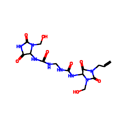 C=CCN1C(=O)C(NC(=O)NCNC(=O)NC2C(=O)NC(=O)N2CO)N(CO)C1=O